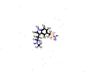 [2H]c1c(C([2H])([2H])S(=O)(=O)N([2H])C)c([2H])c2c(C([2H])([2H])C([2H])([2H])N(C)C([2H])([2H])[2H])c([2H])n([2H])c2c1[2H]